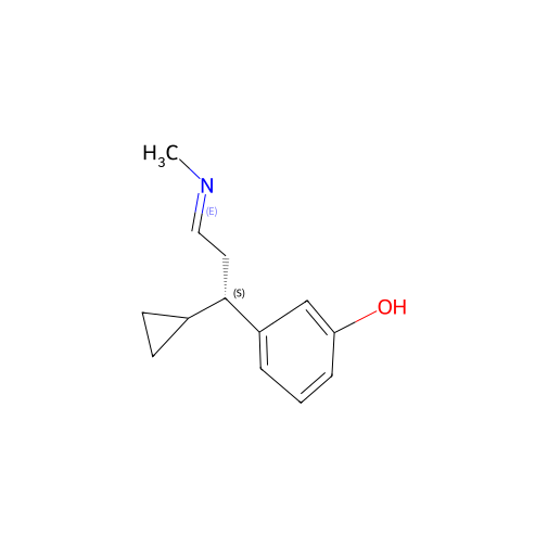 C/N=C/C[C@H](c1cccc(O)c1)C1CC1